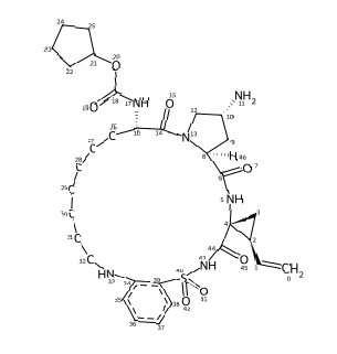 C=C[C@@H]1C[C@@]12NC(=O)[C@@H]1C[C@@H](N)CN1C(=O)[C@@H](NC(=O)OC1CCCC1)CCCCCCCNc1ccccc1S(=O)(=O)NC2=O